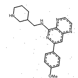 COc1ccc(-c2cc3nccnc3c(NCC3CCCNC3)n2)cc1